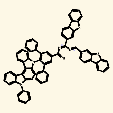 N=C(/N=C(\N=C\c1ccc2c(c1)sc1ccccc12)c1ccc2c(c1)sc1ccccc12)c1cc(-c2ccccc2)c(-n2c3ccccc3c3c4c5ccccc5n(-c5ccccc5)c4ccc32)c(-c2ccccc2)c1